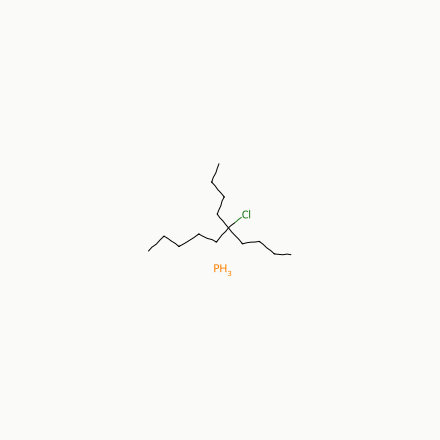 CCCCCC(Cl)(CCCC)CCCC.P